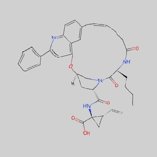 C=C[C@@H]1C[C@]1(NC(=O)[C@@H]1C[C@@H]2CN1C(=O)[C@H](CCCC)NC(=O)CC/C=C\c1ccc3nc(-c4ccccc4)cc(c3c1)O2)C(=O)O